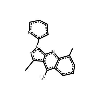 Cc1cccc2c(N)c3c(C)nn(-c4ccccn4)c3nc12